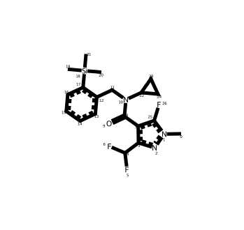 Cn1nc(C(F)F)c(C(=O)N(Cc2ccccc2[Si](C)(C)C)C2CC2)c1F